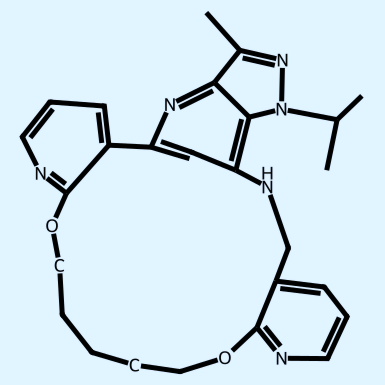 Cc1nn(C(C)C)c2c3cc(nc12)-c1cccnc1OCCCCCOc1ncccc1CN3